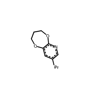 CC(C)c1cnc2c(c1)OCCCO2